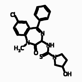 CN1C(=O)C(NC(=S)N2CCC(O)C2)N=C(c2ccccc2)c2cc(Cl)ccc21